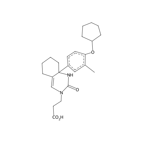 Cc1cc(C23CCCCC2=CN(CCC(=O)O)C(=O)N3)ccc1OC1CCCCC1